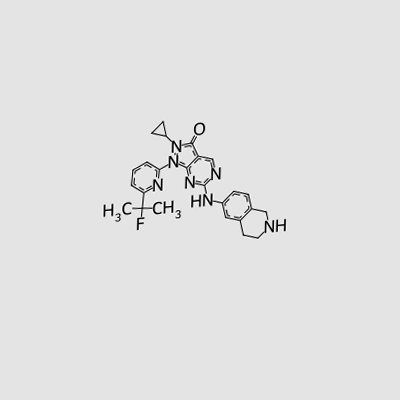 CC(C)(F)c1cccc(-n2c3nc(Nc4ccc5c(c4)CCNC5)ncc3c(=O)n2C2CC2)n1